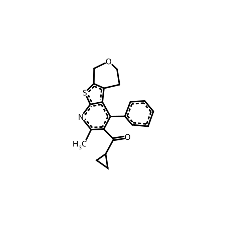 Cc1nc2sc3c(c2c(-c2ccccc2)c1C(=O)C1CC1)CCOC3